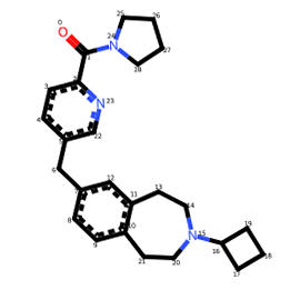 O=C(c1ccc(Cc2ccc3c(c2)CCN(C2CCC2)CC3)cn1)N1CCCC1